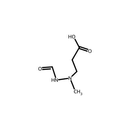 CN(CCC(=O)O)NC=O